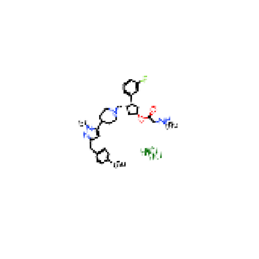 CCn1nc(Cc2ccc(C(C)(C)C)cc2)cc1C1CCN(C[C@H]2C[C@H](OC(=O)CNC(C)(C)C)C[C@@H]2c2cccc(F)c2)CC1.Cl.Cl.Cl